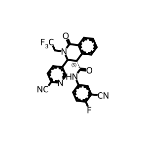 N#Cc1ccc(C2[C@@H](C(=O)Nc3ccc(F)c(C#N)c3)c3ccccc3C(=O)N2CC(F)(F)F)cn1